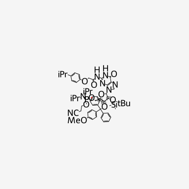 COc1ccc(C(O[C@@H]2[C@@H](COP(OCCC#N)N(C(C)C)C(C)C)OC(n3cnc4c(=O)[nH]c(NC(=O)COc5ccc(C(C)C)cc5)nc43)[C@@H]2O[Si](C)(C)C(C)(C)C)(c2ccccc2)c2ccccc2)cc1